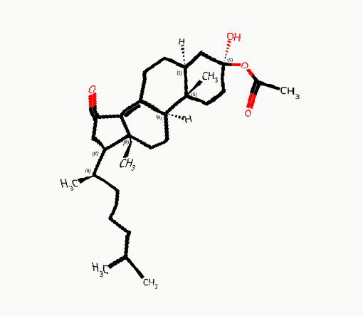 CC(=O)O[C@@]1(O)CC[C@@]2(C)[C@@H](CCC3=C4C(=O)C[C@H]([C@H](C)CCCC(C)C)[C@@]4(C)CC[C@@H]32)C1